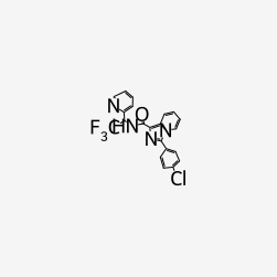 O=C(NC(c1ccccn1)C(F)(F)F)c1nc(-c2ccc(Cl)cc2)n2ccccc12